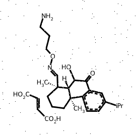 CC(C)c1ccc2c(c1)C(=O)C(O)[C@H]1[C@](C)(/C=N/OCCCN)CCC[C@]21C.O=C(O)/C=C/C(=O)O